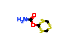 NC(=O)OC1SCSCS1